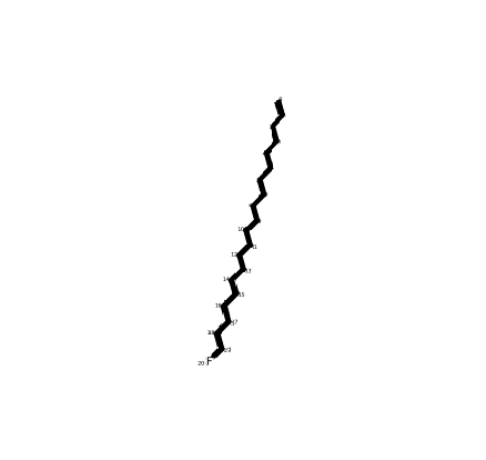 C=CCCCCCCCCCCCCCCCCCCF